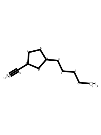 CCCCCC1CCC(C#N)C1